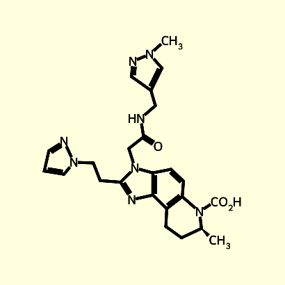 C[C@H]1CCc2c(ccc3c2nc(CCn2cccn2)n3CC(=O)NCc2cnn(C)c2)N1C(=O)O